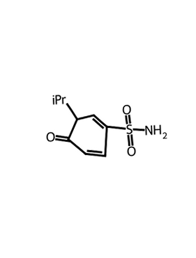 CC(C)C1C=C(S(N)(=O)=O)C=CC1=O